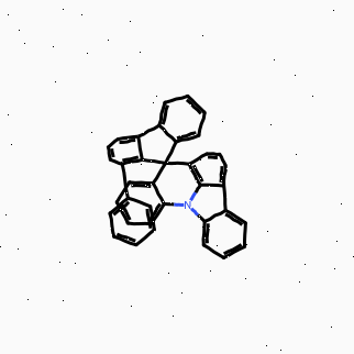 c1ccc(-c2cccc3c2C2(c4ccccc4-3)c3ccccc3-n3c4ccccc4c4cccc2c43)cc1